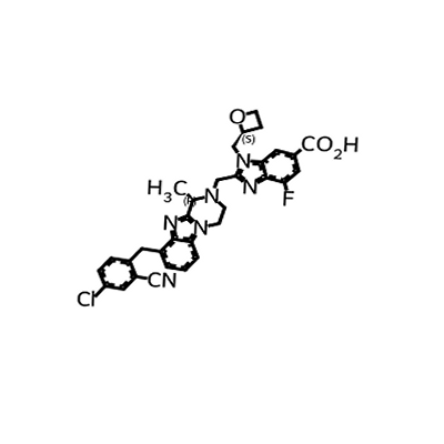 C[C@@H]1c2nc3c(Cc4ccc(Cl)cc4C#N)cccc3n2CCN1Cc1nc2c(F)cc(C(=O)O)cc2n1C[C@@H]1CCO1